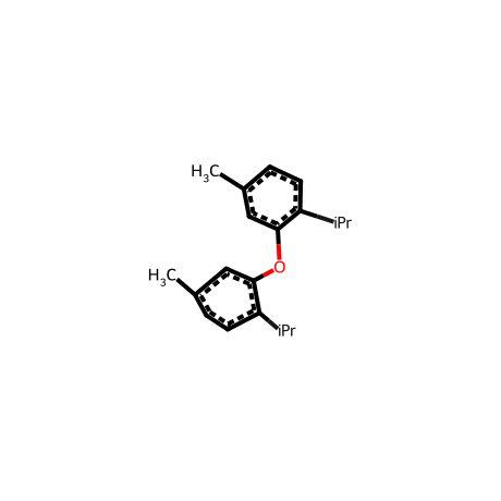 Cc1ccc(C(C)C)c(Oc2cc(C)ccc2C(C)C)c1